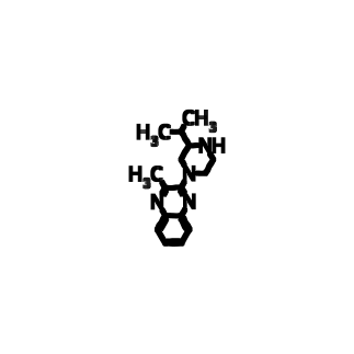 Cc1nc2ccccc2nc1N1CCNC(C(C)C)C1